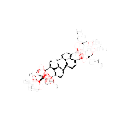 CC(C)(C)OCC(C)(C)OC(=O)c1ccc2c3ccc(C(=O)OC(C)(C)COC(C)(C)C)c4c(C(=O)OC(C)(C)COC(C)(C)C)ccc(c5ccc(C(=O)OC(C)(C)COC(C)(C)C)c1c25)c43